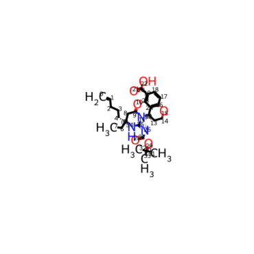 C=CCCC[C@]1(CC)CC(=O)N([C@@H]2CCOc3ccc(C(=O)O)cc32)/C(=N/C(=O)OC(C)(C)C)N1